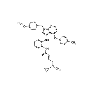 COc1ccc(Cn2nc(Nc3ccccc3NC(=O)/C=C/CN(C)C3CC3)c3c(Oc4ccc(C)cc4)ccnc32)cc1